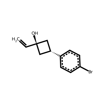 C=C[C@]1(O)C[C@H](c2ccc(Br)cc2)C1